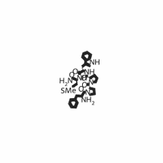 CSCC[C@H](NC(=O)[C@H](Cc1c[nH]c2ccccc12)NC(=O)[C@@H]1CCCN1C(=O)[C@@H]1CCCN1C(=O)[C@@H](N)Cc1ccccc1)C(N)=O